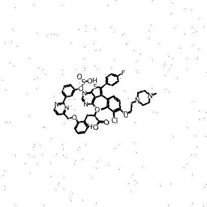 Cc1c(-c2c(-c3ccc(F)cc3)sc3ncnc(OC(Cc4ccccc4OCc4ccnc(-c5cccc(OS(=O)O)c5)n4)C(=O)O)c23)ccc(OCCN2CCN(C)CC2)c1Cl